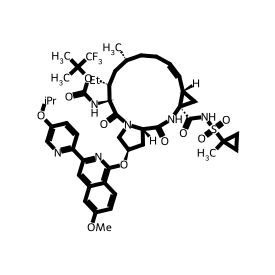 CC[C@@H]1C[C@H](C)CC/C=C\[C@@H]2C[C@@]2(C(=O)NS(=O)(=O)C2(C)CC2)NC(=O)[C@@H]2C[C@@H](Oc3nc(-c4ccc(OC(C)C)cn4)cc4cc(OC)ccc34)CN2C(=O)[C@H]1NC(=O)OC(C)(C)C(F)(F)F